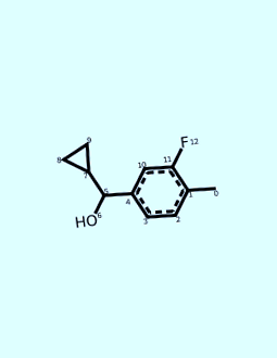 Cc1ccc(C(O)C2CC2)cc1F